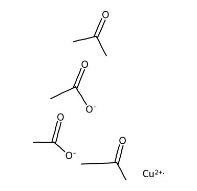 CC(=O)[O-].CC(=O)[O-].CC(C)=O.CC(C)=O.[Cu+2]